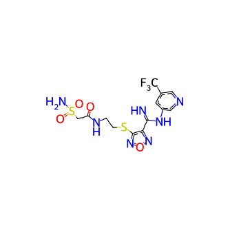 N=C(Nc1cncc(C(F)(F)F)c1)c1nonc1SCCNC(=O)CS(N)(=O)=O